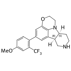 COc1ccc(-c2cc3c4c(c2)[C@@H]2CNCC[C@@H]2N4CCO3)c(C(F)(F)F)c1